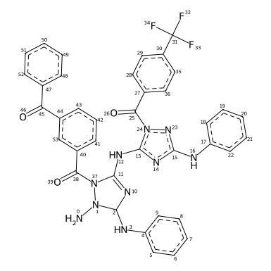 NN1C(Nc2ccccc2)N=C(Nc2nc(Nc3ccccc3)nn2C(=O)c2ccc(C(F)(F)F)cc2)N1C(=O)c1cccc(C(=O)c2ccccc2)c1